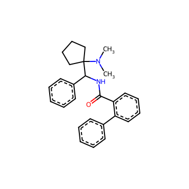 CN(C)C1(C(NC(=O)c2ccccc2-c2ccccc2)c2ccccc2)CCCC1